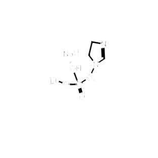 CCOP(=O)(O)ON1C=NCC1.[NaH]